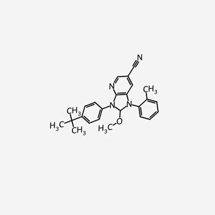 COC1N(c2ccccc2C)c2cc(C#N)cnc2N1c1ccc(C(C)(C)C)cc1